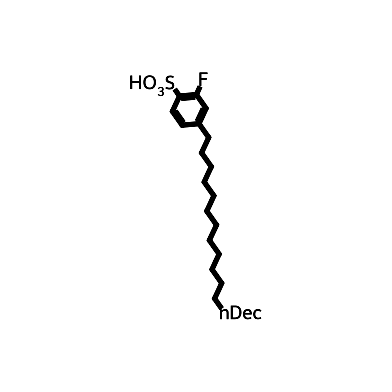 CCCCCCCCCCCCCCCCCCCCCCc1ccc(S(=O)(=O)O)c(F)c1